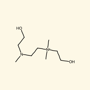 CN(CCO)CC[N+](C)(C)CCO